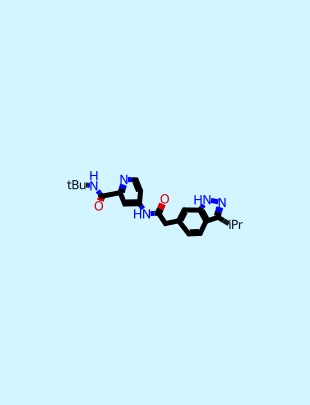 CC(C)c1n[nH]c2cc(CC(=O)Nc3ccnc(C(=O)NC(C)(C)C)c3)ccc12